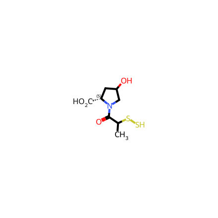 CC(SS)C(=O)N1CC(O)C[C@H]1C(=O)O